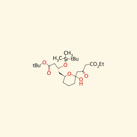 CCOC(=O)CC(=O)CC1(O)CCC[C@@H](C[C@H](CC(=O)OC(C)(C)C)O[Si](C)(C)C(C)(C)C)O1